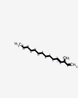 C=CC(O)/C=C/CCCCCCCCCC